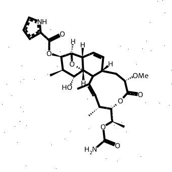 CO[C@H]1C[C@H]2C=C[C@H]3[C@H]4O[C@]2(/C(C)=C/[C@@H](C)[C@@H]([C@@H](C)OC(N)=O)OC1=O)[C@@H]3[C@H](O)[C@@H](C)[C@H]4OC(=O)c1ccc[nH]1